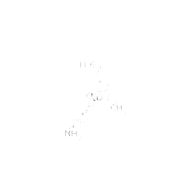 CCCCCCC(CCCC)COC(=O)CCCCCCCCN